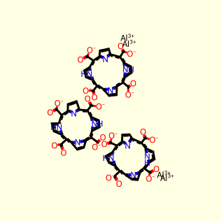 O=C([O-])c1c2nc(c(C(=O)[O-])c3ccc([nH]3)c(C(=O)[O-])c3nc(c(C(=O)[O-])c4ccc1[nH]4)C=C3)C=C2.O=C([O-])c1c2nc(c(C(=O)[O-])c3ccc([nH]3)c(C(=O)[O-])c3nc(c(C(=O)[O-])c4ccc1[nH]4)C=C3)C=C2.O=C([O-])c1c2nc(c(C(=O)[O-])c3ccc([nH]3)c(C(=O)[O-])c3nc(c(C(=O)[O-])c4ccc1[nH]4)C=C3)C=C2.[Al+3].[Al+3].[Al+3].[Al+3]